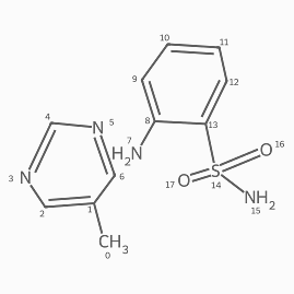 Cc1cncnc1.Nc1ccccc1S(N)(=O)=O